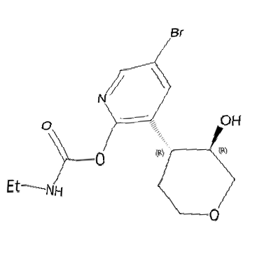 CCNC(=O)Oc1ncc(Br)cc1[C@H]1CCOC[C@@H]1O